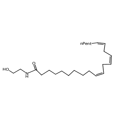 CCCCC/C=C\C/C=C\C/C=C\CCCCCCCCC(=O)NCCO